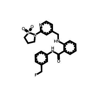 O=C(Nc1cccc(CF)c1)c1ccccc1NCc1ccnc(N2CCCS2(=O)=O)c1